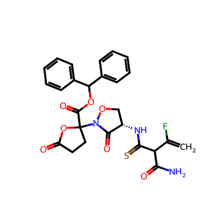 C=C(F)C(C(N)=O)C(=S)N[C@H]1CON(C2(C(=O)OC(c3ccccc3)c3ccccc3)CCC(=O)O2)C1=O